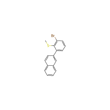 CSc1c(Br)cccc1-c1ccc2ccccc2c1